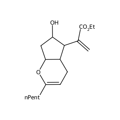 C=C(C(=O)OCC)C1C(O)CC2OC(CCCCC)=CCC21